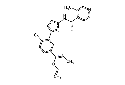 C=CO/C(=N\C)c1ccc(Cl)c(-c2ccc(NC(=O)c3ccncc3C)s2)c1